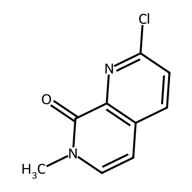 Cn1ccc2ccc(Cl)nc2c1=O